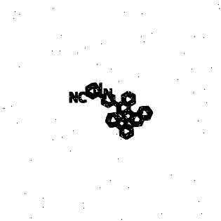 N#Cc1ccnc(-c2ccc(-c3cc4c(c5ccccc35)-c3c(ccc5ccccc35)C43c4ccccc4-c4ccccc43)cn2)c1